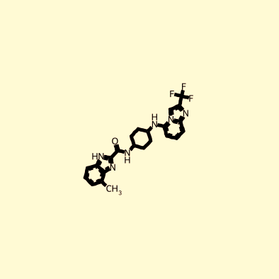 Cc1cccc2[nH]c(C(=O)NC3CCC(Nc4cccc5nc(C(F)(F)F)cn45)CC3)nc12